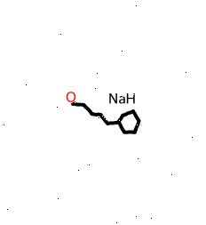 O=CCCCCC1CCCCC1.[NaH]